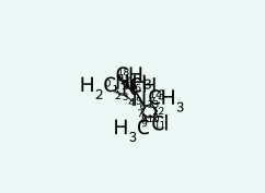 C=C1C=C(CNc2cc(C)c(Cl)cc2C)N(C)N1C